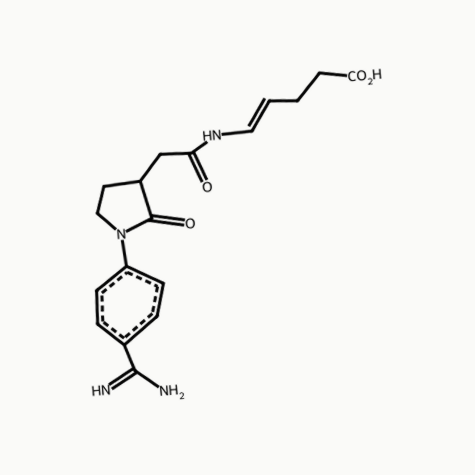 N=C(N)c1ccc(N2CCC(CC(=O)NC=CCCC(=O)O)C2=O)cc1